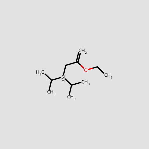 C=C(C[SiH](C(C)C)C(C)C)OCC